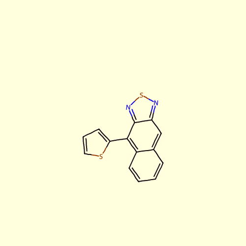 c1csc(-c2c3ccccc3cc3nsnc23)c1